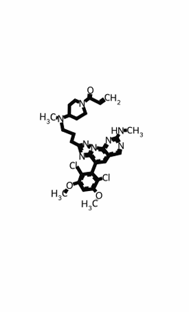 C=CC(=O)N1CCC(N(C)CCCc2nc3c(-c4c(Cl)c(OC)cc(OC)c4Cl)cc4cnc(NC)nc4n3n2)CC1